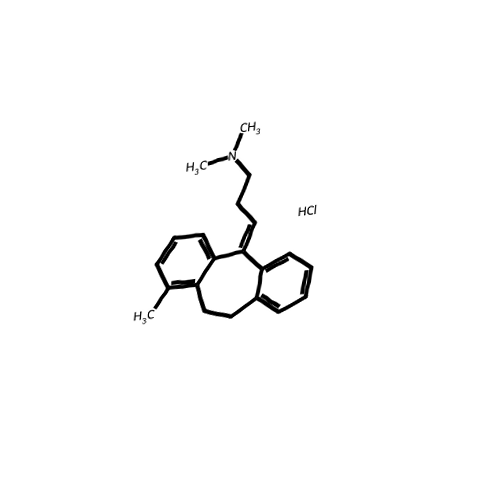 Cc1cccc2c1CCc1ccccc1/C2=C/CCN(C)C.Cl